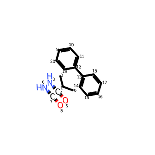 CCC.N=C=O.N=C=O.c1ccc(-c2ccccc2)cc1